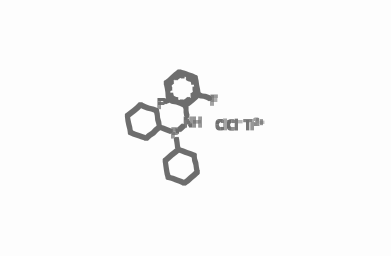 Fc1cccc(F)c1NP(C1CCCCC1)C1CCCCC1.[Cl-].[Cl-].[Ti+2]